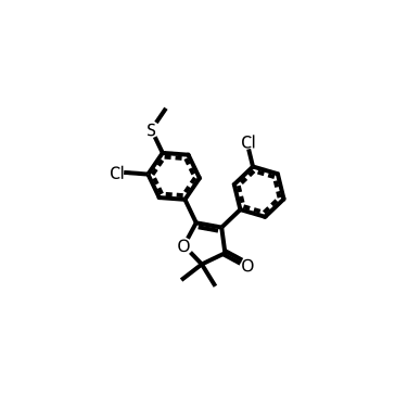 CSc1ccc(C2=C(c3cccc(Cl)c3)C(=O)C(C)(C)O2)cc1Cl